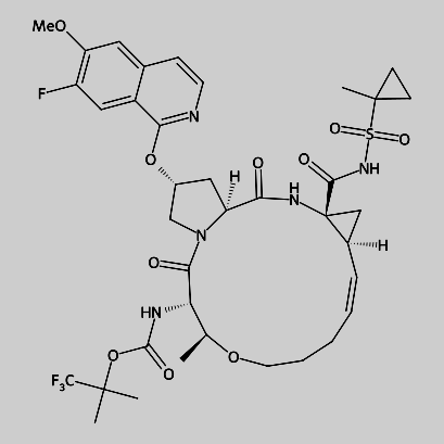 COc1cc2ccnc(O[C@@H]3C[C@H]4C(=O)N[C@]5(C(=O)NS(=O)(=O)C6(C)CC6)C[C@H]5/C=C\CCCO[C@@H](C)[C@H](NC(=O)OC(C)(C)C(F)(F)F)C(=O)N4C3)c2cc1F